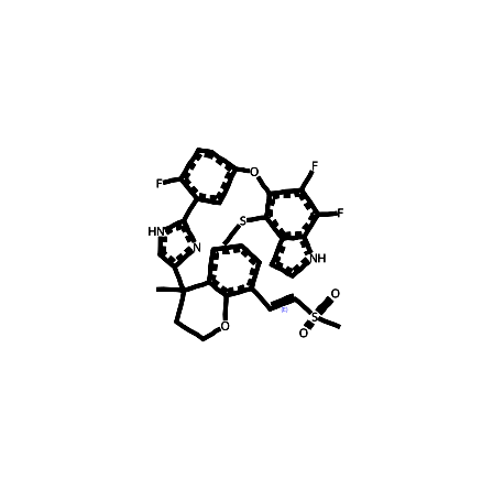 CSc1c(Oc2ccc(F)c(-c3nc(C4(C)CCOc5c(/C=C/S(C)(=O)=O)cccc54)c[nH]3)c2)c(F)c(F)c2[nH]ccc12